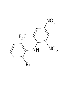 O=[N+]([O-])c1cc([N+](=O)[O-])c(Nc2ccccc2Br)c(C(F)(F)F)c1